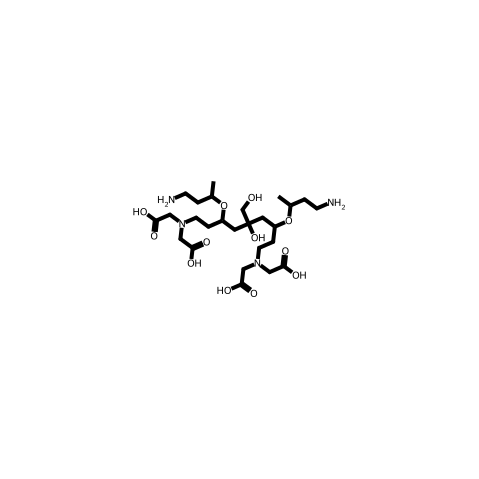 CC(CCN)OC(CCN(CC(=O)O)CC(=O)O)CC(O)(CO)CC(CCN(CC(=O)O)CC(=O)O)OC(C)CCN